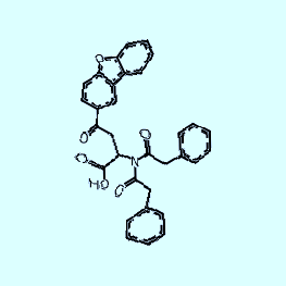 O=C(CC(C(=O)O)N(C(=O)Cc1ccccc1)C(=O)Cc1ccccc1)c1ccc2oc3ccccc3c2c1